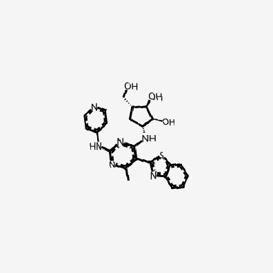 Cc1nc(Nc2ccncc2)nc(N[C@@H]2C[C@H](CO)[C@@H](O)[C@H]2O)c1-c1nc2ccccc2s1